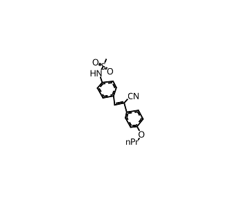 CCCOc1ccc(C(C#N)=Cc2ccc(NS(C)(=O)=O)cc2)cc1